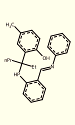 CCCC(CC)(Pc1ccccc1/C=N/c1ccccc1)c1cc(C)ccc1O